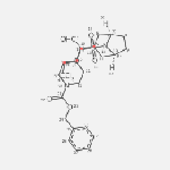 O=CN(OCC(Cl)(Cl)Cl)[C@H]1C[C@H]2CC[C@@H](C1)N2S(=O)(=O)CC1CCN(C(=O)OCc2ccccc2)CC1